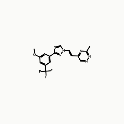 COc1cc(-c2ncn(C=Cc3cnnc(C)n3)n2)cc(C(F)(F)F)c1